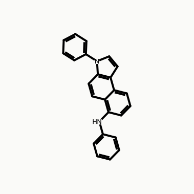 c1ccc(Nc2cccc3c2ccc2c3ccn2-c2ccccc2)cc1